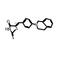 O=C1NC(=S)S/C1=C\c1ccc(N2CCc3ccccc3C2)cc1